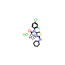 CC(=O)N(c1ccc(Cl)cc1F)C1CSC(=NC2CCCCC2)N1C.Cl